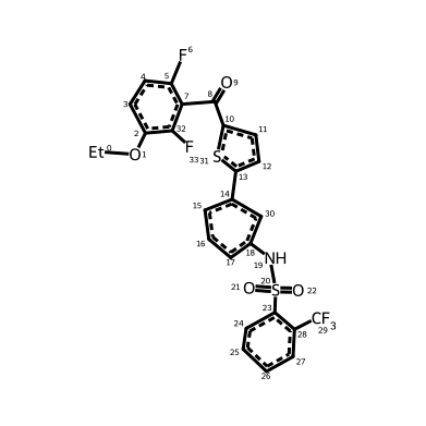 CCOc1ccc(F)c(C(=O)c2ccc(-c3cccc(NS(=O)(=O)c4ccccc4C(F)(F)F)c3)s2)c1F